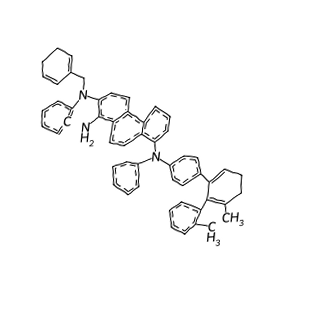 CC1=C(c2ccccc2C)C(c2ccc(N(c3ccccc3)c3cccc4c3ccc3c(N)c(N(CC5=CCCC=C5)c5ccccc5)ccc34)cc2)=CCC1